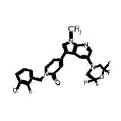 Cn1cc(-c2ccn(Cc3cccc(Cl)c3F)c(=O)c2)c2cc(N3CC(F)(F)OC(F)(F)C3)cnc21